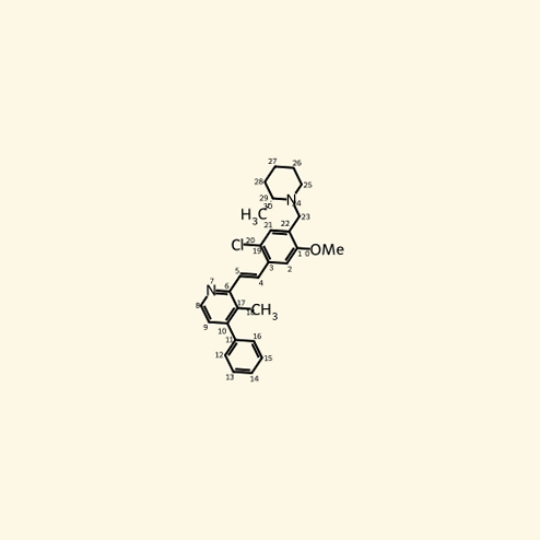 COc1cc(/C=C/c2nccc(-c3ccccc3)c2C)c(Cl)cc1CN1CCCC[C@H]1C